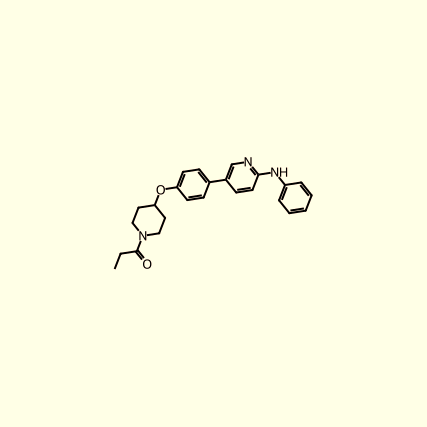 CCC(=O)N1CCC(Oc2ccc(-c3ccc(Nc4ccccc4)nc3)cc2)CC1